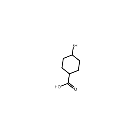 O=C(O)C1CCC(S)CC1